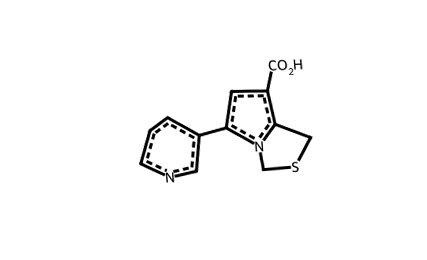 O=C(O)c1cc(-c2cccnc2)n2c1CSC2